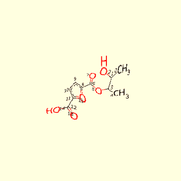 CC(O)C(C)OC(=O)c1ccc(C(=O)O)o1